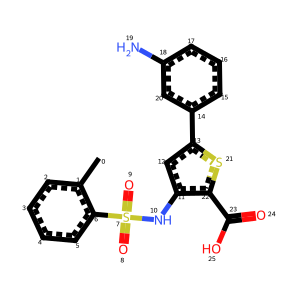 Cc1ccccc1S(=O)(=O)Nc1cc(-c2cccc(N)c2)sc1C(=O)O